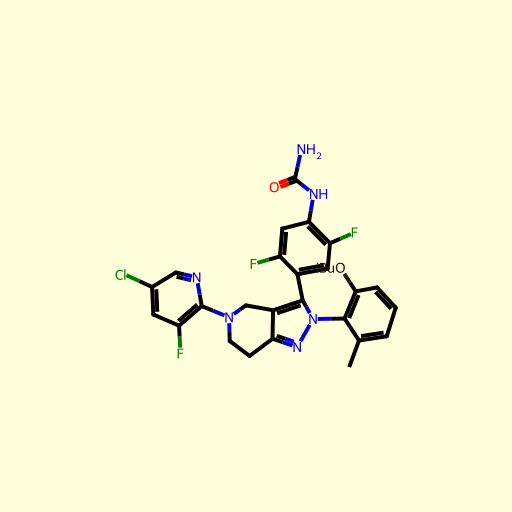 Cc1cccc(OCC(C)C)c1-n1nc2c(c1-c1cc(F)c(NC(N)=O)cc1F)CN(c1ncc(Cl)cc1F)CC2